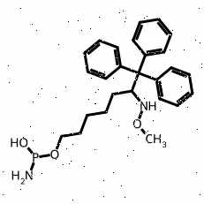 CONC(CCCCCOP(N)O)C(c1ccccc1)(c1ccccc1)c1ccccc1